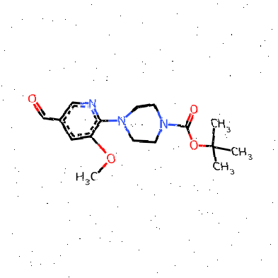 COc1cc(C=O)cnc1N1CCN(C(=O)OC(C)(C)C)CC1